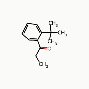 CCC(=O)c1ccccc1C(C)(C)C